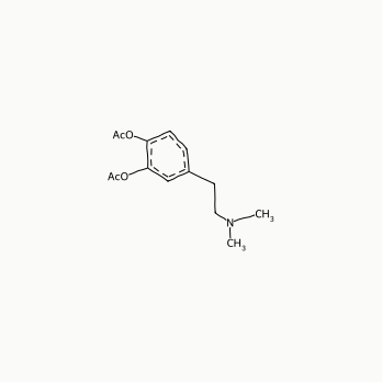 CC(=O)Oc1ccc(CCN(C)C)cc1OC(C)=O